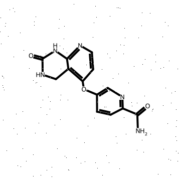 NC(=O)c1ccc(Oc2ccnc3c2CNC(=O)N3)cn1